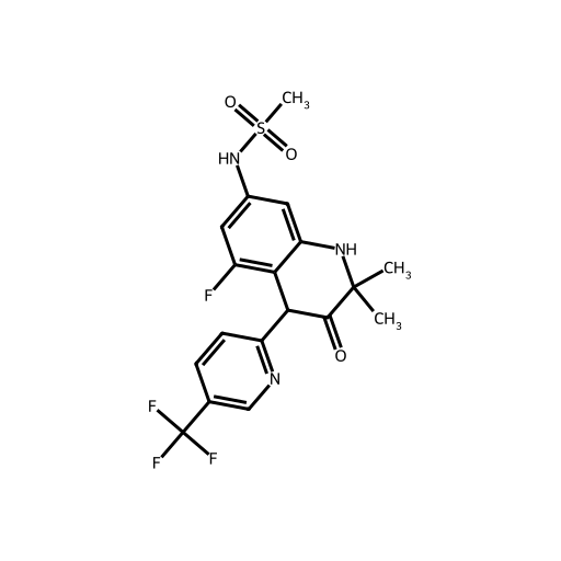 CC1(C)Nc2cc(NS(C)(=O)=O)cc(F)c2C(c2ccc(C(F)(F)F)cn2)C1=O